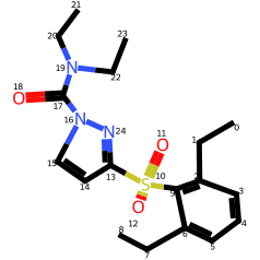 CCc1cccc(CC)c1S(=O)(=O)c1ccn(C(=O)N(CC)CC)n1